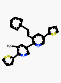 Cc1cc(-c2ncc(-c3cccs3)cc2/C=C/c2ccccc2)cnc1-c1cccs1